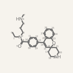 CCN(CCCNC)C(=O)c1ccc(C2=CC3(CCNCC3)Oc3ccccc32)cc1